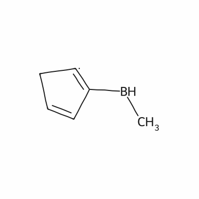 CBC1=[C]CC=C1